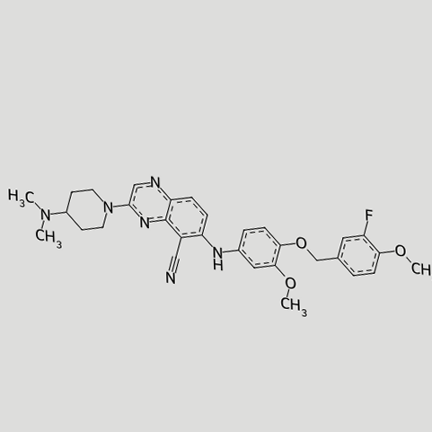 COc1ccc(COc2ccc(Nc3ccc4ncc(N5CCC(N(C)C)CC5)nc4c3C#N)cc2OC)cc1F